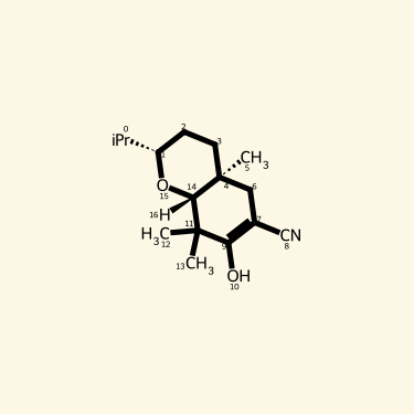 CC(C)[C@@H]1CC[C@@]2(C)CC(C#N)=C(O)C(C)(C)[C@@H]2O1